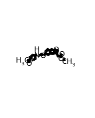 CCOC(=O)Cc1coc2cc3ccc(OCCNC4CCN(C(C)=O)CC4)cc3cc12